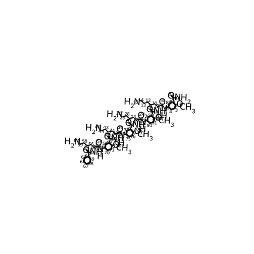 COc1ccc(NC(=O)[C@H](CCCCCN)NC(=O)c2cc(NC(=O)[C@H](CCCCN)NC(=O)c3cc(NC(=O)[C@H](CCCCN)NC(=O)c4cc(NC(=O)[C@H](CCCCN)NC(=O)c5ccccc5)ccc4OC)ccc3OC)ccc2OC)cc1C(N)=O